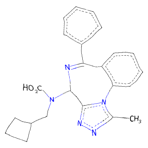 Cc1nnc2n1-c1ccccc1C(c1ccccc1)=NC2N(CC1CCC1)C(=O)O